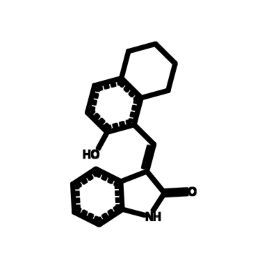 O=C1Nc2ccccc2C1=Cc1c(O)ccc2c1CCCC2